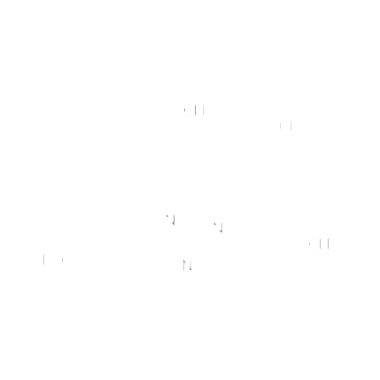 CCCCC(CCCC)N(CCCC)c1ncc(CCC)cn1